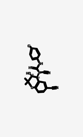 CC1(C)Oc2ccc(C#N)cc2[C@H](N(C#N)C(=N)Nc2ccc(Cl)cc2)[C@H]1O